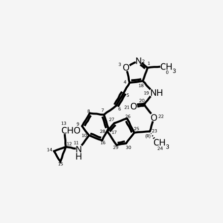 Cc1noc(C#Cc2ccc(NC3(C=O)CC3)cc2)c1NC(=O)O[C@H](C)c1ccccc1